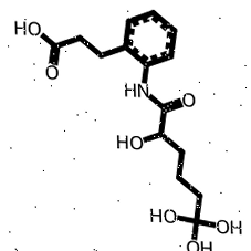 O=C(O)CCc1ccccc1NC(=O)C(O)CCCC(O)(O)O